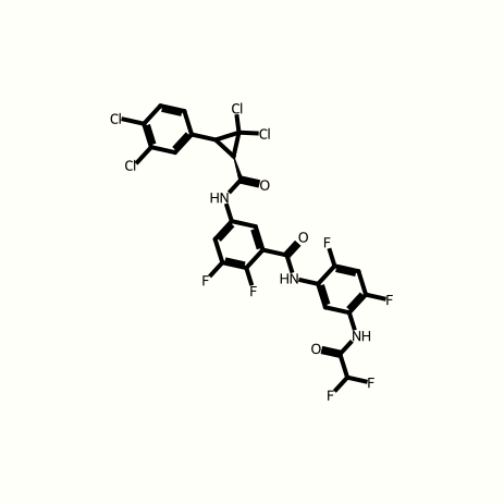 O=C(Nc1cc(NC(=O)C(F)F)c(F)cc1F)c1cc(NC(=O)[C@H]2C(c3ccc(Cl)c(Cl)c3)C2(Cl)Cl)cc(F)c1F